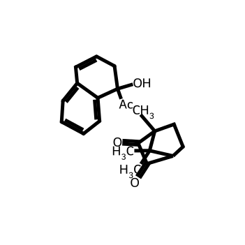 CC(=O)C1(O)CC=Cc2ccccc21.CC12CCC(C(=O)C1=O)C2(C)C